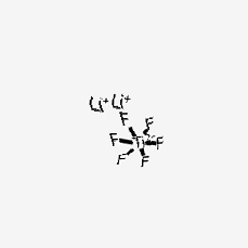 [F][Ti-2]([F])([F])([F])([F])[F].[Li+].[Li+]